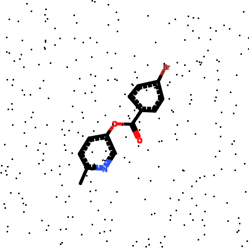 Cc1ccc(OC(=O)c2ccc(Br)cc2)cn1